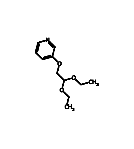 CCOC(COc1cccnc1)OCC